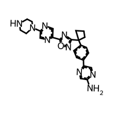 Nc1cnc(-c2ccc(C3(c4noc(-c5cnc(N6CCNCC6)cn5)n4)CCC3)cc2)cn1